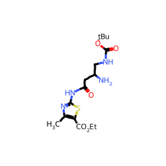 CCOC(=O)c1sc(NC(=O)CC(N)CNC(=O)OC(C)(C)C)nc1C